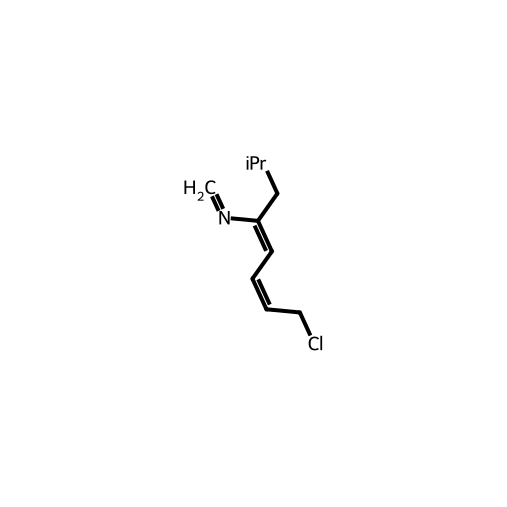 C=N/C(=C\C=C/CCl)CC(C)C